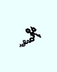 CSCCc1c(-c2cccc(C)c2)c(-c2ccccc2)nn1CC1CCC(COCC(=O)O)CC1